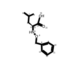 CC(C)C[C@H](NOCc1ccccc1)C(=O)O